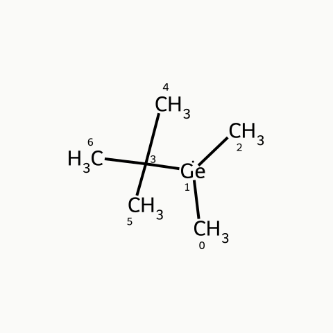 [CH3][Ge]([CH3])[C](C)(C)C